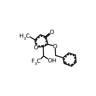 Cc1cc(=O)c(OCc2ccccc2)c(C(O)C(F)(F)F)o1